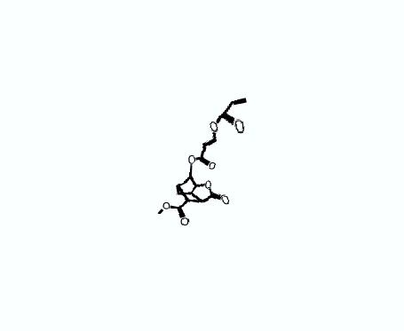 C=CC(=O)OCCC(=O)OC1C2CC3C1OC(=O)C3C2C(=O)OC